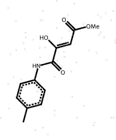 COC(=O)/C=C(\O)C(=O)Nc1ccc(C)cc1